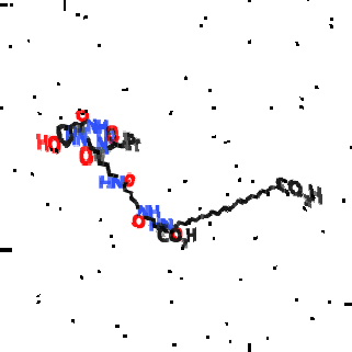 CC(C)CC(=O)CN[C@@H](CCCCNC(=O)CCCCCNC(=O)CC[C@H](NC(=O)CCCCCCCCCCCCCCCCCCC(=O)O)C(=O)O)C(=O)CN[C@@H](Cc1ccc(O)cc1)C(N)=O